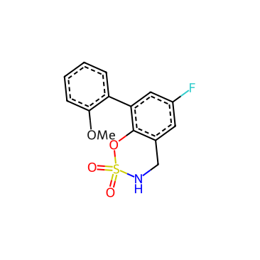 COc1ccccc1-c1cc(F)cc2c1OS(=O)(=O)NC2